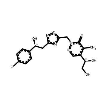 Cc1c([C@@H](O)CO)cnn(Cc2nc(C[C@H](O)c3ccc(Cl)cc3)no2)c1=O